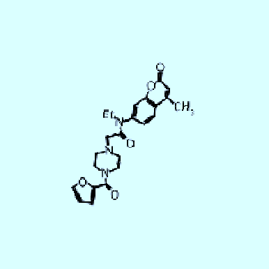 CCN(C(=O)CN1CCN(C(=O)c2ccco2)CC1)c1ccc2c(C)cc(=O)oc2c1